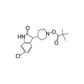 CC(C)(C)C(=O)ON1CCC(C2C(=O)Nc3cc(Cl)ccc32)CC1